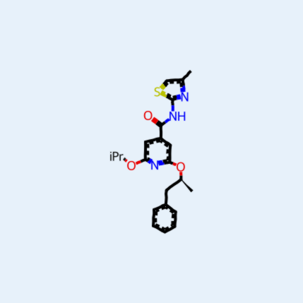 Cc1csc(NC(=O)c2cc(OC(C)C)nc(O[C@@H](C)Cc3ccccc3)c2)n1